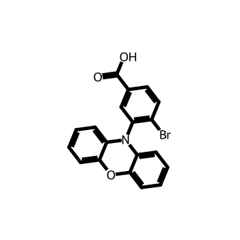 O=C(O)c1ccc(Br)c(N2c3ccccc3Oc3ccccc32)c1